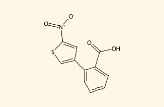 O=C(O)c1ccccc1-c1csc([N+](=O)[O-])c1